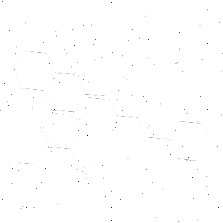 CCOc1cc2c(cc1OC)C(=C(C#N)CCCN1CCOCC1)N[C@@H]1CCCC[C@H]21